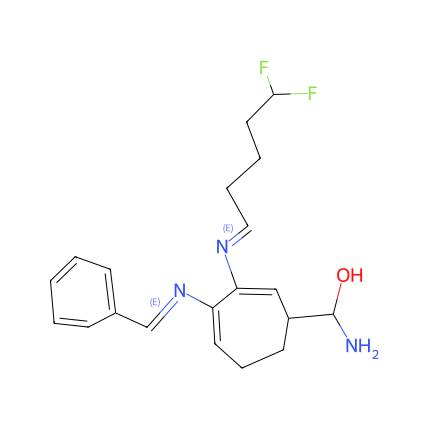 NC(O)C1C=C(/N=C/CCCC(F)F)C(/N=C/c2ccccc2)=CCC1